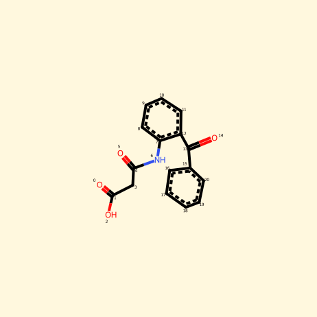 O=C(O)CC(=O)Nc1ccccc1C(=O)c1ccccc1